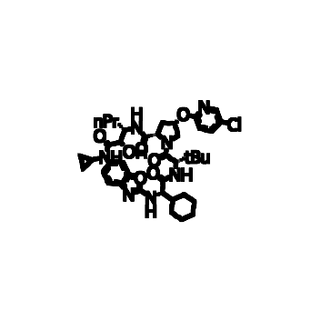 CCC[C@H](NC(=O)[C@@H]1C[C@@H](Oc2ccc(Cl)cn2)CN1C(=O)[C@@H](NC(=O)[C@@H](Nc1nc2ccccc2o1)C1CCCCC1)C(C)(C)C)C(O)C(=O)NC1CC1